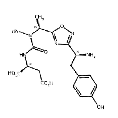 CCCN(C(=O)N[C@@H](CC(=O)O)C(=O)O)[C@@H](C)c1nc([C@@H](N)Cc2ccc(O)cc2)no1